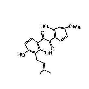 COc1ccc(C(=O)C(=O)c2ccc(O)c(CC=C(C)C)c2O)c(O)c1